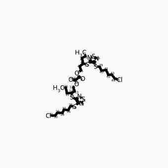 CCCC(CCOC(=O)C(=O)OCCC(CCC)Sc1nsnc1SCCCCCCCl)Sc1nsnc1SCCCCCCCl